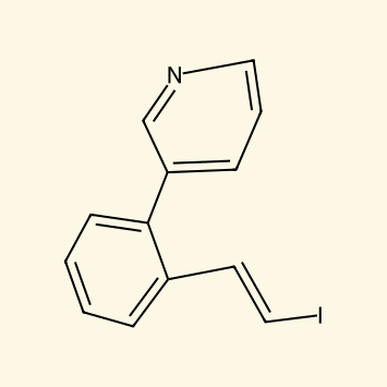 I/C=C/c1ccccc1-c1cccnc1